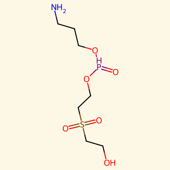 NCCCO[PH](=O)OCCS(=O)(=O)CCO